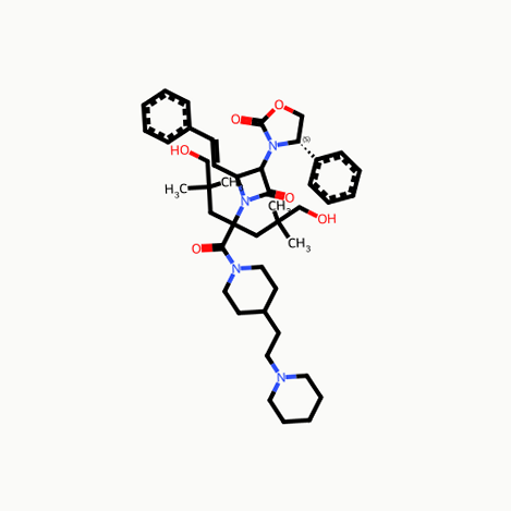 CC(C)(CO)CC(CC(C)(C)CO)(C(=O)N1CCC(CCN2CCCCC2)CC1)N1C(=O)C(N2C(=O)OC[C@@H]2c2ccccc2)C1C=Cc1ccccc1